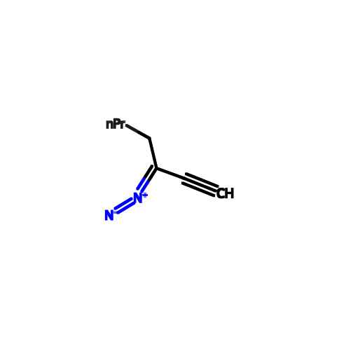 C#CC(CC[CH]C)=[N+]=[N-]